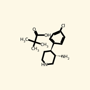 CC(C)(C)C(=O)O.N[C@@H]1CNCC[C@H]1c1ccc(Cl)cc1